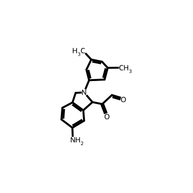 Cc1cc(C)cc(N2Cc3ccc(N)cc3C2C(=O)C=O)c1